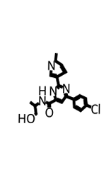 Cc1ccc(-c2nc(C(=O)NC(C)CO)cc(-c3ccc(Cl)cc3)n2)cn1